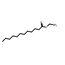 CCCCCCCCCCCC(=O)OCN